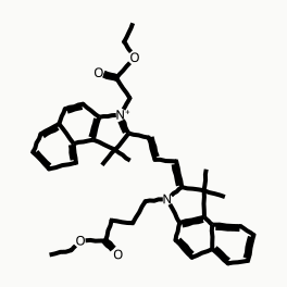 CCOC(=O)CCCN1/C(=C\C=C\C2=[N+](CC(=O)OCC)c3ccc4ccccc4c3C2(C)C)C(C)(C)c2c1ccc1ccccc21